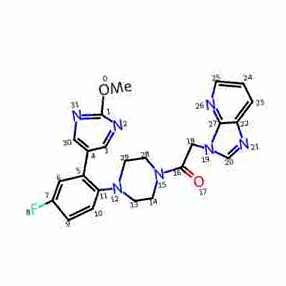 COc1ncc(-c2cc(F)ccc2N2CCN(C(=O)Cn3cnc4cccnc43)CC2)cn1